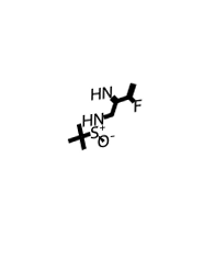 C=C(F)C(=N)CN[S@@+]([O-])C(C)(C)C